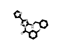 O=C(c1cccc(F)c1)n1nc(-c2ccco2)nc1NCc1ccccc1